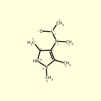 CC1=C(N(C)[S+](C)[O-])C(C)NN1C